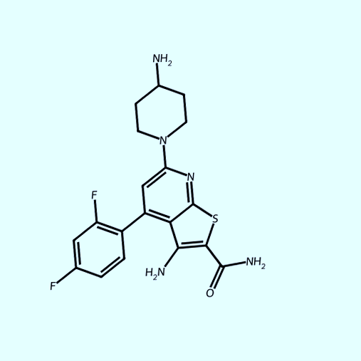 NC(=O)c1sc2nc(N3CCC(N)CC3)cc(-c3ccc(F)cc3F)c2c1N